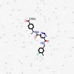 COC(=O)c1ccc([C@H](C)NC(=O)c2cc(C(=O)NCc3ccc(F)c(C)c3)ncn2)cc1